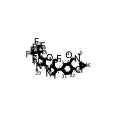 CN(C(=O)c1cc(-c2cnn3c2C(F)Oc2c(C(F)(C(F)(F)F)C(F)(F)F)nn(C)c2-3)ccc1Cl)C1CC1